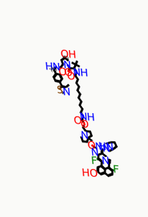 C#Cc1c(F)ccc2cc(O)cc(-c3ncc4c(N5CC6CCC(C5)N6)nc(OCC56CCCN5C(COC(=O)NCCCCCCCCCCC(=O)NC(C(=O)N5C[C@H](O)CC5C(=O)N[C@@H](C)c5ccc(-c7scnc7C)cc5)C(C)(C)C)CC6)nc4c3F)c12